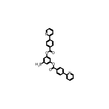 Bc1cc(OC(=O)c2ccc(-c3ccccn3)cc2)cc(OC(=O)c2ccc(-c3ccccn3)cc2)c1